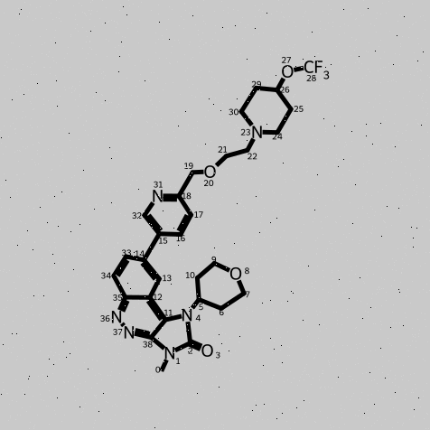 Cn1c(=O)n(C2CCOCC2)c2c3cc(-c4ccc(COCCN5CCC(OC(F)(F)F)CC5)nc4)ccc3nnc21